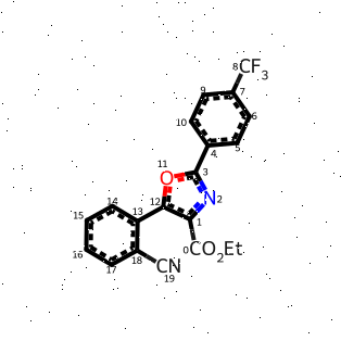 CCOC(=O)c1nc(-c2ccc(C(F)(F)F)cc2)oc1-c1ccccc1C#N